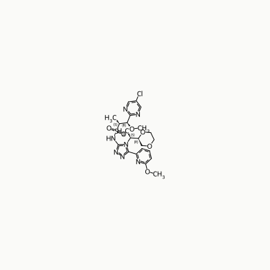 COc1cccc(-c2nnc(NS(=O)(=O)[C@@H](C)[C@H](OC)c3ncc(Cl)cn3)n2[C@@H](C)[C@@H]2COCCO2)n1